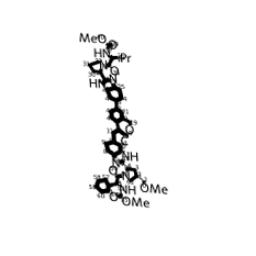 COC[C@H]1C[C@@H](c2nc3ccc4cc5c(cc4c3[nH]2)OCc2cc(-c3ccc4nc(C6CCCN6C(=O)C(NC(=O)OC)C(C)C)[nH]c4c3)ccc2-5)N(C(=O)[C@H](NC(=O)OC)c2ccccc2)C1